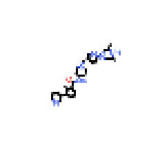 Cc1c(C(=O)NC2CCN(Cc3ccc(N4CC(C)NC(C)C4)nc3)CC2)cccc1-c1cccnc1